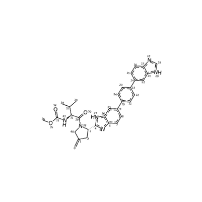 C=C1C[C@@H](c2nc3ccc(-c4ccc(-c5ccc6nc[nH]c6c5)cc4)cc3[nH]2)N(C(=O)[C@@H](NC(=O)OC)C(C)C)C1